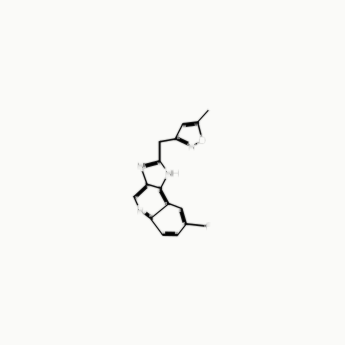 Cc1cc(Cc2nc3cnc4ccc(F)cc4c3[nH]2)no1